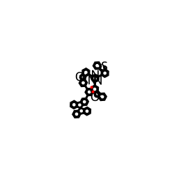 c1cc(-c2ccc3c(c2)-c2ccccc2C32c3ccccc3-c3ccccc32)cc(-c2ccc3oc4cccc(-c5nc(-c6ccc7oc8ccccc8c7c6)nc(-c6cccc7sc8ccccc8c67)n5)c4c3c2)c1